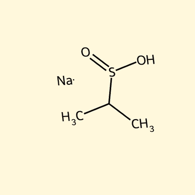 CC(C)S(=O)O.[Na]